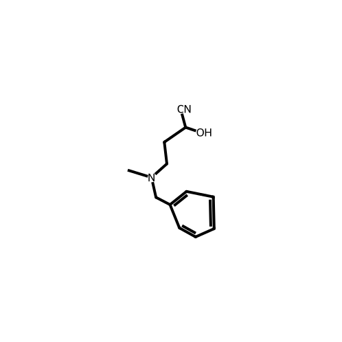 CN(CCC(O)C#N)Cc1ccccc1